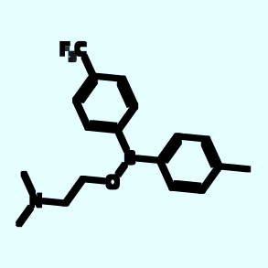 Cc1ccc(B(OCCN(C)C)c2ccc(C(F)(F)F)cc2)cc1